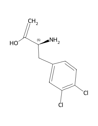 C=C(O)[C@@H](N)Cc1ccc(Cl)c(Cl)c1